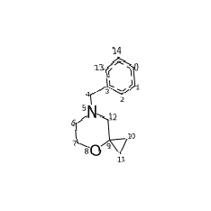 c1ccc(CN2CCOC3(CC3)C2)cc1